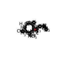 CCc1ccc(CN2C(=O)C[C@@H](Cc3ccccc3)C(=O)N(C)[C@@H](C)CNC(=O)C[C@H](Cc3ccc(Cl)cc3)N(C)C(=O)[C@H](COC)NC(=O)[C@@H]2C)c(Oc2ccc(-c3cnc(CN4CCCC4)n3C)cc2)c1.Cl